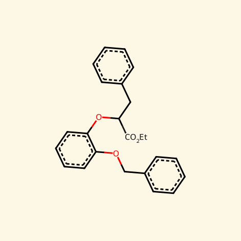 CCOC(=O)C(Cc1ccccc1)Oc1ccccc1OCc1ccccc1